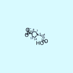 O=C(O)[C@@H]1C[C@@H]1c1ccc([N+](=O)[O-])cc1